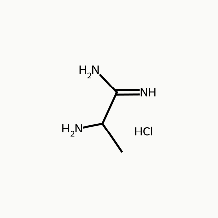 CC(N)C(=N)N.Cl